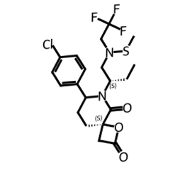 CC[C@@H](CN(CC(F)(F)F)SC)N1C(=O)[C@]2(CCC1c1ccc(Cl)cc1)CC(=O)O2